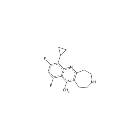 Cc1c2c(nc3c(C4CC4)c(F)cc(F)c13)CCNCC2